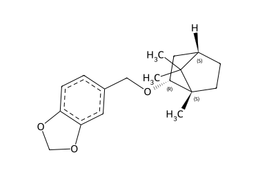 CC1(C)[C@H]2CC[C@]1(C)[C@H](OCc1ccc3c(c1)OCO3)C2